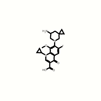 COc1c(N2CC(N)CC3(CC3)C2)c(F)cc2c(=O)c(C(=O)O)cn(C3CC3)c12